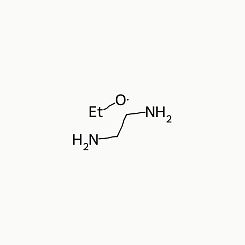 CC[O].NCCN